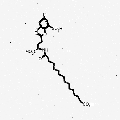 O=C(O)CCCCCCCCCCCCCCC(=O)NC(CCC(=O)Oc1c(Cl)cc(Cl)cc1S(=O)(=O)O)C(=O)O